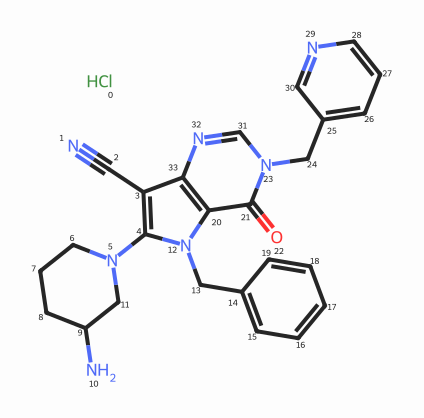 Cl.N#Cc1c(N2CCCC(N)C2)n(Cc2ccccc2)c2c(=O)n(Cc3cccnc3)cnc12